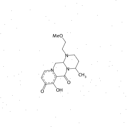 COCCN1CCC(C)N2C(=O)c3c(O)c(=O)ccn3CC12